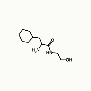 NC(CC1CCCCC1)C(=O)NCCO